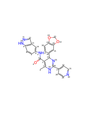 CC1=C(C(=O)Nc2ccc3[nH]ncc3c2)C(c2ccc3c(c2)OCO3)N=C(c2ccncc2)N1